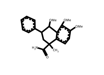 COc1ccc2c(c1OC)C(OC)C(c1ccccc1)CC2(C)C(N)=O